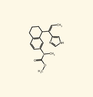 CC=C(c1c[nH]cn1)C1CCCc2ccc(N(C)C(=O)OC)cc21